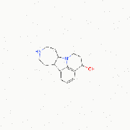 OC1CCN2c3c1cccc3C1CCNCCC12